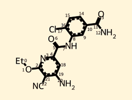 CCOc1nc(C(=O)Nc2cc(C(N)=O)ccc2Cl)cc(N)c1C#N